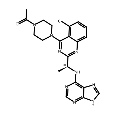 CC(=O)N1CCN(c2nc([C@H](C)Nc3ncnc4[nH]cnc34)nc3cccc(Cl)c23)CC1